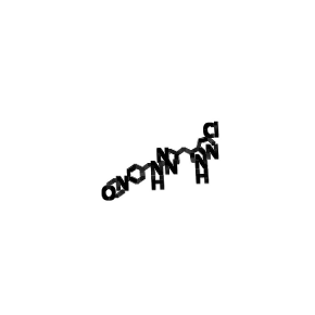 Clc1cnc2[nH]cc(Cc3cnc(NCc4ccc(N5CCOCC5)cc4)nc3)c2c1